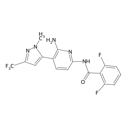 Cn1nc(C(F)(F)F)cc1-c1ccc(NC(=O)c2c(F)cccc2F)nc1N